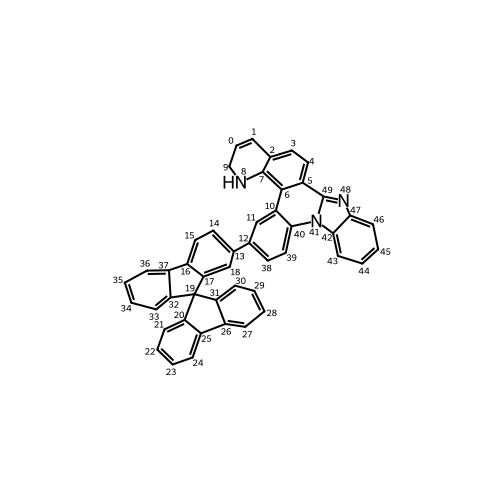 C1=Cc2ccc3c(c2NC1)c1cc(-c2ccc4c(c2)C2(c5ccccc5-c5ccccc52)c2ccccc2-4)ccc1n1c2ccccc2nc31